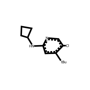 CC(C)(C)c1cc(NC2CCC2)ncc1Cl